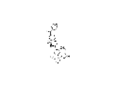 Cc1cc([N+]2([C@H]3CCNC3)CCC[C@@H]2C)ccc1C1CCC2(CCN(C(=O)c3ccncc3)CC2)C(=O)N1